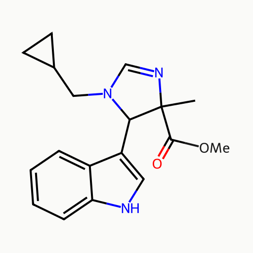 COC(=O)C1(C)N=CN(CC2CC2)C1c1c[nH]c2ccccc12